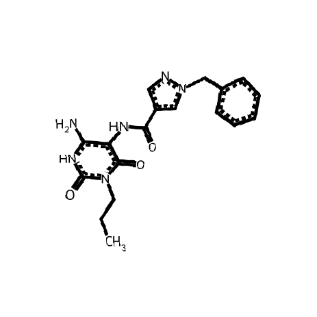 CCCn1c(=O)[nH]c(N)c(NC(=O)c2cnn(Cc3ccccc3)c2)c1=O